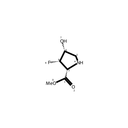 COC(=O)[C@H]1NC[C@@H](O)[C@H]1F